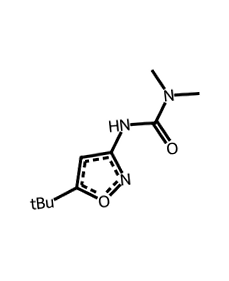 CN(C)C(=O)Nc1cc(C(C)(C)C)on1